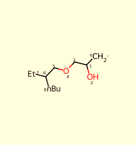 [CH2]C(O)COCC(CC)CCCC